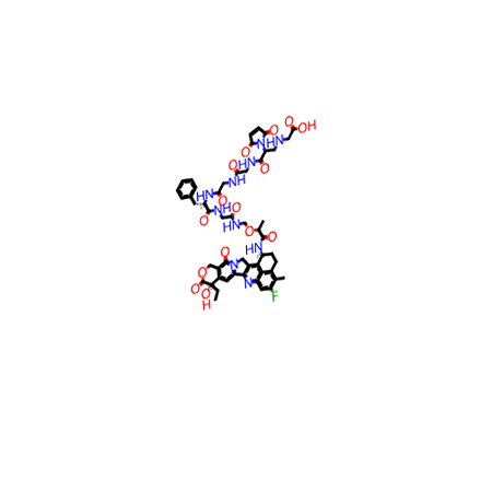 CC[C@@]1(O)C(=O)OCc2c1cc1n(c2=O)Cc2c-1nc1cc(F)c(C)c3c1c2[C@@H](NC(=O)C(C)OCNC(=O)CNC(=O)[C@H](Cc1ccccc1)NC(=O)CNC(=O)CNC(=O)C(CNCC(=O)O)N1C(=O)C=CC1=O)CC3